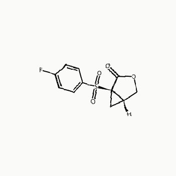 O=C1OC[C@@H]2C[C@]12S(=O)(=O)c1ccc(F)cc1